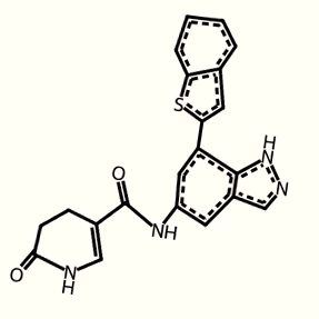 O=C1CCC(C(=O)Nc2cc(-c3cc4ccccc4s3)c3[nH]ncc3c2)=CN1